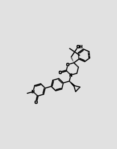 Cn1ccc(-c2ccc([C@H](C3CC3)N3CC[C@](CC(C)(C)O)(c4ccccc4)OC3=O)cc2)cc1=O